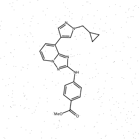 COC(=O)c1ccc(Nc2nc3c(-c4cnn(CC5CC5)c4)cccn3n2)cc1